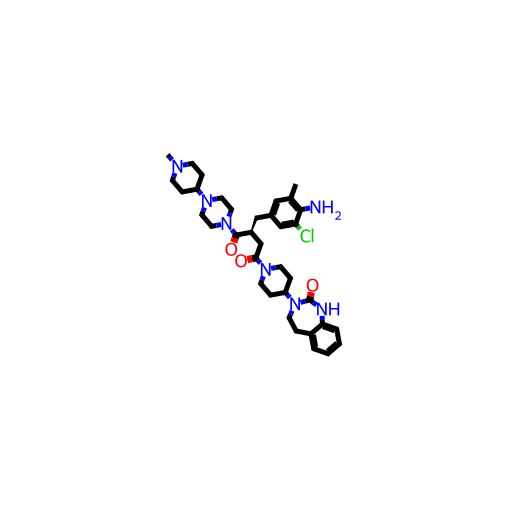 Cc1cc(C[C@@H](CC(=O)N2CCC(N3CCc4ccccc4NC3=O)CC2)C(=O)N2CCN(C3CCN(C)CC3)CC2)cc(Cl)c1N